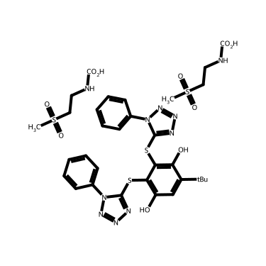 CC(C)(C)c1cc(O)c(Sc2nnnn2-c2ccccc2)c(Sc2nnnn2-c2ccccc2)c1O.CS(=O)(=O)CCNC(=O)O.CS(=O)(=O)CCNC(=O)O